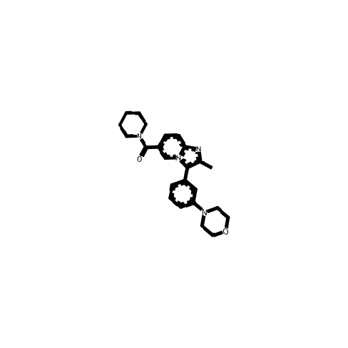 Cc1nc2ccc(C(=O)N3CCCCC3)cn2c1-c1cccc(N2CCOCC2)c1